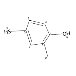 Cc1cc(S)ccc1O